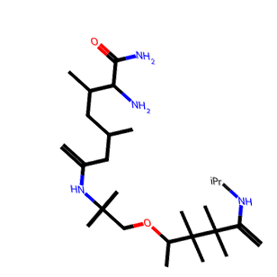 C=C(CC(C)CC(C)C(N)C(N)=O)NC(C)(C)COC(C)C(C)(C)C(C)(C)C(=C)NC(C)C